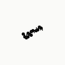 c1ccc(-c2ccc3ccc4ccc(-c5c6ccccc6c(-c6ccc7ccc(-c8ccc9ccc(-c%10cccc%11ccncc%10%11)nc9c8)nc7c6)c6ccccc56)nc4c3n2)cc1